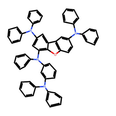 c1ccc(N(c2ccccc2)c2cccc(N(c3ccccc3)c3cc(N(c4ccccc4)c4ccccc4)cc4c3oc3ccc(N(c5ccccc5)c5ccccc5)cc34)c2)cc1